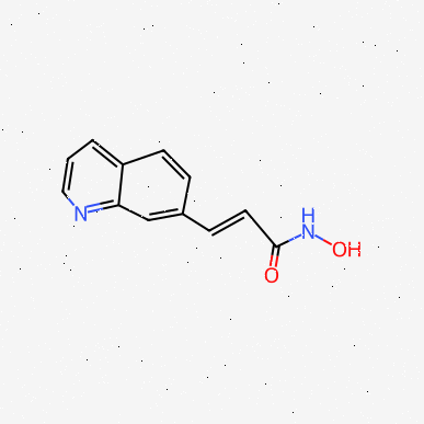 O=C(/C=C/c1ccc2cccnc2c1)NO